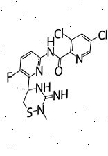 CN1SC[C@@](C)(c2nc(NC(=O)c3ncc(Cl)cc3Cl)ccc2F)NC1=N